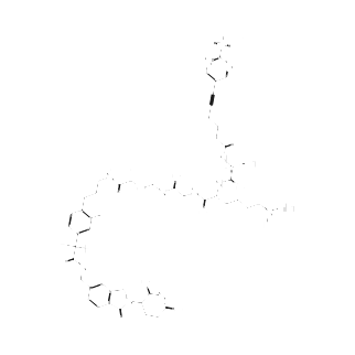 CCCN(CCC)CCCC[C@H](NC(=O)[C@@H](NC(=O)CCCC#Cc1cnc(S(C)(=O)=O)nc1)C(C)C)C(=O)NCC(=O)NCOCC(=O)N(C)CCCc1ccc(C(F)(F)C(=O)NCc2ccc3c(c2)CN(C2CCC(=O)NC2=O)C3=O)cc1Cl